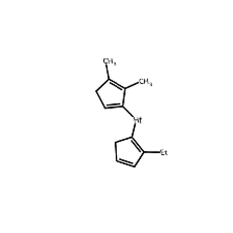 CCC1=[C]([Hf][C]2=CCC(C)=C2C)CC=C1